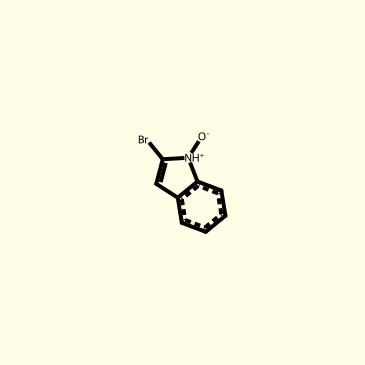 [O-][NH+]1C(Br)=Cc2ccccc21